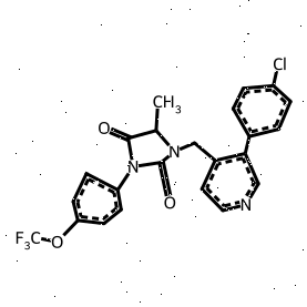 CC1C(=O)N(c2ccc(OC(F)(F)F)cc2)C(=O)N1Cc1ccncc1-c1ccc(Cl)cc1